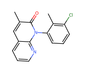 Cc1c(Cl)cccc1-n1c(=O)c(C)cc2cccnc21